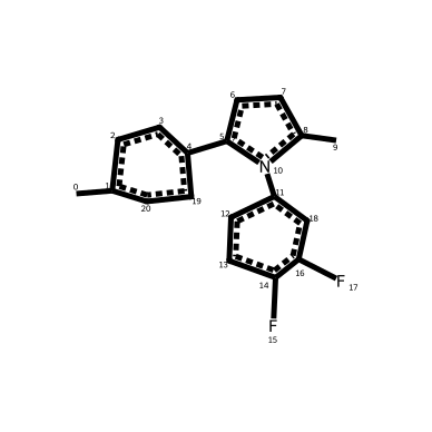 Cc1ccc(-c2ccc(C)n2-c2ccc(F)c(F)c2)cc1